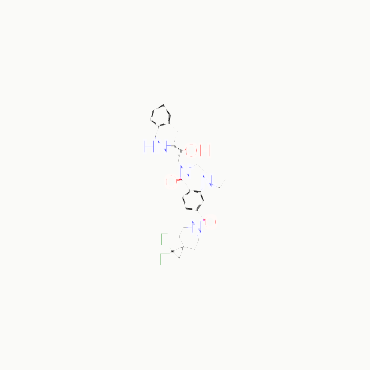 CCN1CCN(C[C@@H](O)[C@@H]2Cc3ccccc3CN2)C(=O)c2ccc(C(=O)N3CCC4(CC3)CC4(F)F)cc21